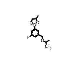 CC1COB(c2cc(F)cc(COC(C)C(F)(F)F)c2)O1